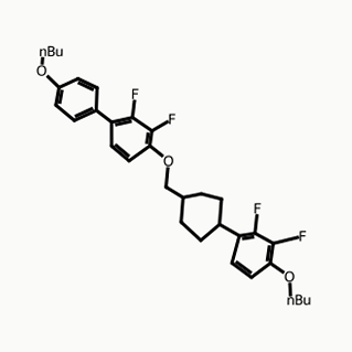 CCCCOc1ccc(-c2ccc(OCC3CCC(c4ccc(OCCCC)c(F)c4F)CC3)c(F)c2F)cc1